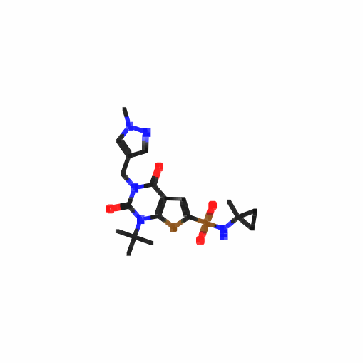 Cn1cc(Cn2c(=O)c3cc(S(=O)(=O)NC4(C)CC4)sc3n(C(C)(C)C)c2=O)cn1